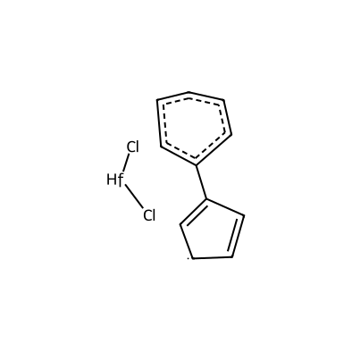 [CH]1C=CC(c2ccccc2)=C1.[Cl][Hf][Cl]